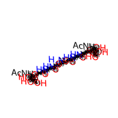 CC(=O)N[C@H]1[C@H](OCCCCC(=O)NCCCNC(=O)CCOCC(N)COCCC(=O)NCCCNC(=O)CCCCO[C@@H]2O[C@H](CO)[C@H](O)[C@H](O)[C@H]2NC(C)=O)O[C@H](CO)[C@H](O)[C@@H]1O